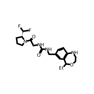 CCC1OCCNc2ccc(CNC(=O)NCC(=O)N3CCC[C@@H]3C(F)F)cc21